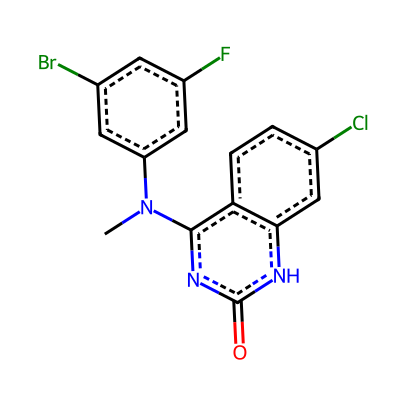 CN(c1cc(F)cc(Br)c1)c1nc(=O)[nH]c2cc(Cl)ccc12